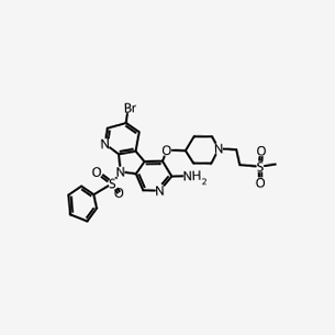 CS(=O)(=O)CCN1CCC(Oc2c(N)ncc3c2c2cc(Br)cnc2n3S(=O)(=O)c2ccccc2)CC1